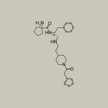 NC1(C(=O)N[C@@H](CNCCC2CCN(C(=O)Cc3cccs3)CC2)Cc2ccccc2)CCCC1